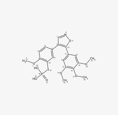 COc1ccc(-c2cnoc2-c2cc(OC)c(OC)c(OC)c2)cc1SP(=O)(O)O